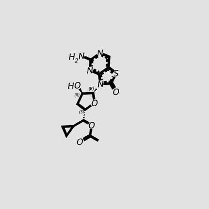 CC(=O)OC(C1CC1)[C@@H]1C[C@@H](O)[C@H](n2c(=O)sc3cnc(N)nc32)O1